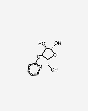 OC[C@H]1O[C@@H](O)[C@H](O)[C@@H]1Oc1ccccn1